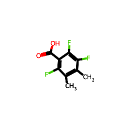 Cc1c(C)c(F)c(C(=O)O)c(F)c1F